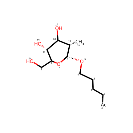 CC(=O)CCCCO[C@@H]1OC(CO)[C@H](O)C(O)[C@@H]1C